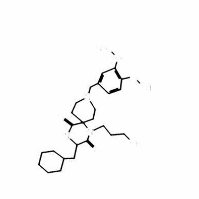 CCCCN1C(=O)C(CC2CCCCC2)NC(=O)C12CCN(Cc1ccc(OC)c(OC)c1)CC2